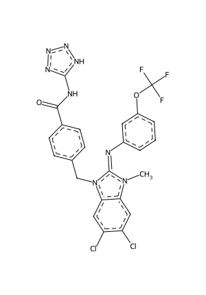 Cn1c(=Nc2cccc(OC(F)(F)F)c2)n(Cc2ccc(C(=O)Nc3nnn[nH]3)cc2)c2cc(Cl)c(Cl)cc21